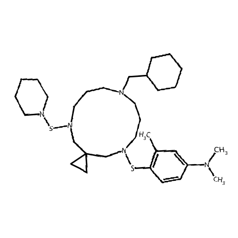 Cc1cc(N(C)C)ccc1SN1CCCN(CC2CCCCC2)CCCN(SN2CCCCC2)CC2(CC2)C1